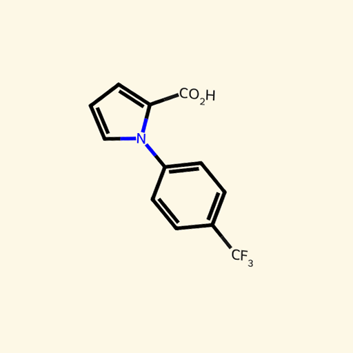 O=C(O)c1cccn1-c1ccc(C(F)(F)F)cc1